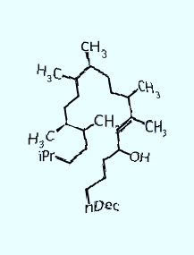 CCCCCCCCCCCCCC(O)/C=C(\C)C(C)CC[C@H](C)C(C)CC[C@H](C)C(C)CCC(C)C